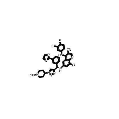 CC(C)(C)N1CCC(n2cc([C@@H](Nc3cc(Cl)c4ncc(C#N)c(Nc5ccc(F)c(Cl)c5)c4c3)c3cccc(-c4ncco4)c3)nn2)CC1